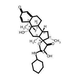 C[C@H]1C[C@H]2[C@@H]3CCC4=CC(=O)C=C[C@]4(C)[C@@]3(F)[C@@H](O)C[C@]2(C)[C@@]1(OC(=O)NC1CCCCC1)C(=O)CO